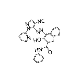 [C-]#[N+]c1cnn(-c2ccccn2)c1/N=N/c1c(O)c(C(=O)Nc2ccccc2)cc2ccccc12